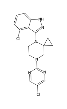 Clc1cnc(N2CCN(c3n[nH]c4cccc(Cl)c34)C3(CC3)C2)nc1